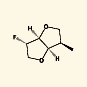 C[C@@H]1CO[C@H]2[C@@H]1OC[C@@H]2F